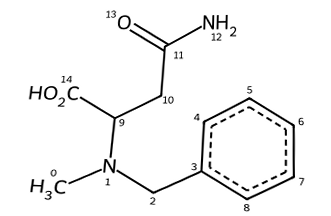 CN(Cc1ccccc1)C(CC(N)=O)C(=O)O